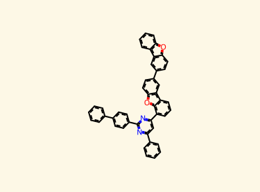 c1ccc(-c2ccc(-c3nc(-c4ccccc4)cc(-c4cccc5c4oc4ccc(-c6ccc7oc8ccccc8c7c6)cc45)n3)cc2)cc1